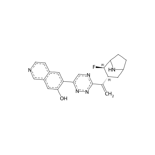 C=C(c1ncc(-c2cc3ccncc3cc2O)nn1)[C@H]1CC2CCC(N2)[C@@H]1F